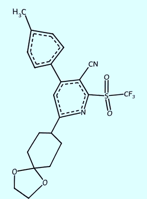 Cc1ccc(-c2cc(C3CCC4(CC3)OCCO4)nc(S(=O)(=O)C(F)(F)F)c2C#N)cc1